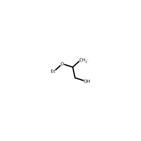 [CH2]COC([CH2])CO